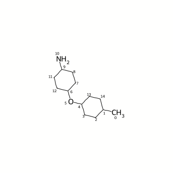 CC1CCC(OC2CCC(N)CC2)CC1